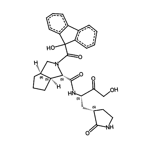 O=C1NCC[C@H]1C[C@H](NC(=O)[C@@H]1[C@H]2CCC[C@H]2CN1C(=O)C1(O)c2ccccc2-c2ccccc21)C(=O)CO